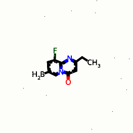 Bc1cc(F)c2nc(CC)cc(=O)n2c1